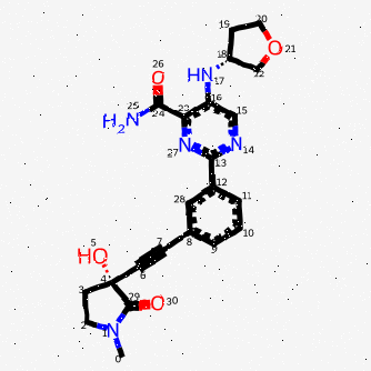 CN1CC[C@@](O)(C#Cc2cccc(-c3ncc(N[C@@H]4CCOC4)c(C(N)=O)n3)c2)C1=O